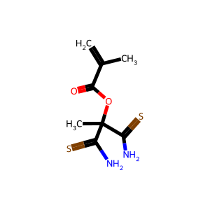 C=C(C)C(=O)OC(C)(C(N)=S)C(N)=S